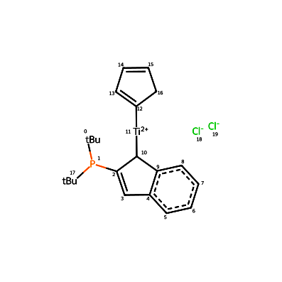 CC(C)(C)P(C1=Cc2ccccc2[CH]1[Ti+2][C]1=CC=CC1)C(C)(C)C.[Cl-].[Cl-]